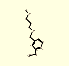 COCCCOCc1ccnc(CCl)c1